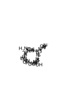 Cc1sc2nc1C(=O)N[C@@H]([C@H](O)c1ccccc1)c1nc(cs1)C(=O)NC(=O)N1C[C@H](O)[C@H](C)[C@H]1c1nc(cs1)-c1nc(cs1)-c1nc(-c3nc(C(=O)N=[N+]=[N-])cs3)ccc1-c1nc(cs1)C(=O)N[C@H]2CC(N)=O